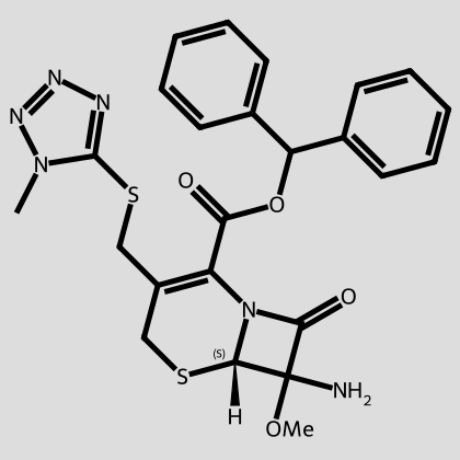 COC1(N)C(=O)N2C(C(=O)OC(c3ccccc3)c3ccccc3)=C(CSc3nnnn3C)CS[C@H]21